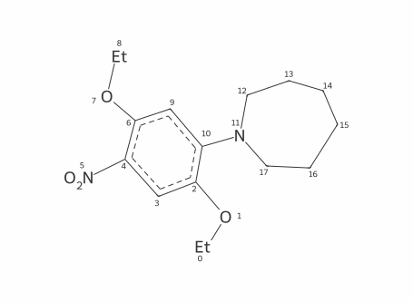 CCOc1cc([N+](=O)[O-])c(OCC)cc1N1CCCCCC1